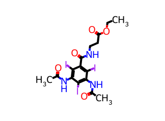 CCOC(=O)CCNC(=O)c1c(I)c(NC(C)=O)c(I)c(NC(C)=O)c1I